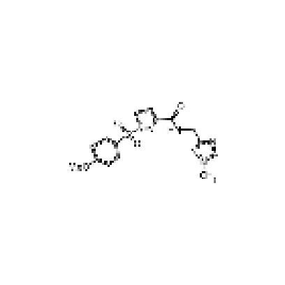 COc1ccc(S(=O)(=O)n2ccc(C(=O)NCc3ncn(C)n3)n2)cc1